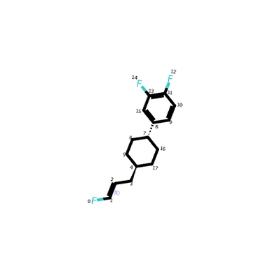 F/C=C/C[C@H]1CC[C@H](c2ccc(F)c(F)c2)CC1